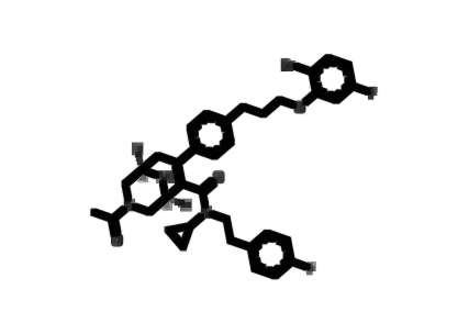 CC(=O)N1C[C@H]2CC(c3ccc(CCCOc4cc(F)ccc4Br)cc3)=C(C(=O)N(CCc3ccc(F)cc3)C3CC3)[C@@H](C1)N2